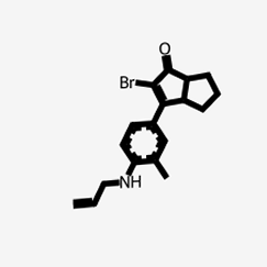 C=CCNc1ccc(C2=C(Br)C(=O)C3CCCC23)cc1C